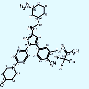 COC1CCN(c2ccc(-n3nc(NC[C@H]4CCC[C@H](N)C4)cc3-c3ccc(C#N)c(F)c3)nc2)CC1.O=C(O)C(F)(F)F